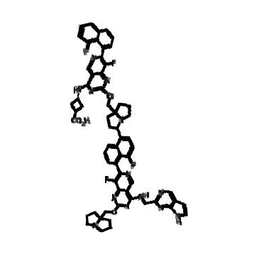 O=C(O)[C@H]1C[C@H](Nc2nc(OCC34CCCN3C(c3ccc(F)c5c(-c6ncc7c(NCc8ncc9cc[nH]c9n8)nc(OCC89CCCN8CCC9)nc7c6F)cccc35)CC4)nc3c(F)c(-c4cccc5cccc(F)c45)ncc23)C1